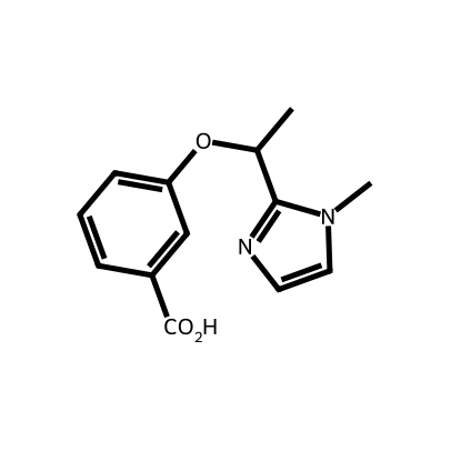 CC(Oc1cccc(C(=O)O)c1)c1nccn1C